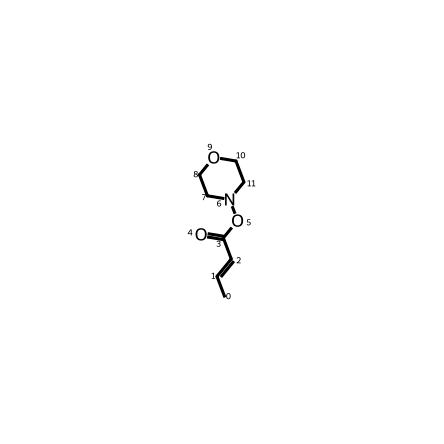 CC=CC(=O)ON1CCOCC1